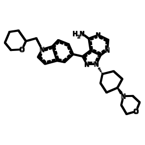 Nc1ncnc2c1c(-c1ccc3c(ccn3CC3CCCCO3)c1)nn2[C@H]1CC[C@H](N2CCOCC2)CC1